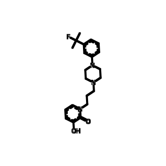 CC(C)(F)c1cccc(N2CCN(CCCn3cccc(O)c3=O)CC2)c1